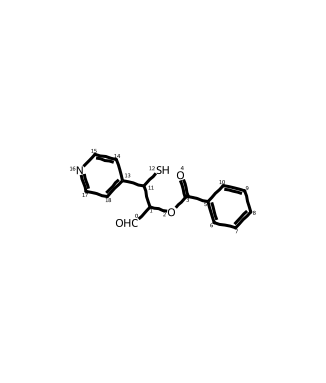 O=CC(OC(=O)c1ccccc1)C(S)c1ccncc1